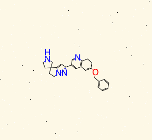 C1=C(OCc2ccccc2)CCc2ncc(-c3cc4n(n3)CCC43CCNC3)cc21